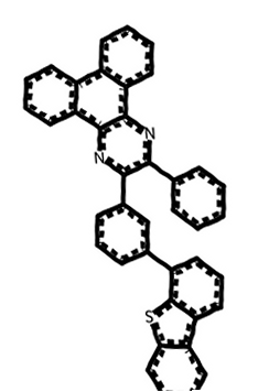 c1ccc(-c2nc3c4ccccc4c4ccccc4c3nc2-c2cccc(-c3cccc4c3sc3ccccc34)c2)cc1